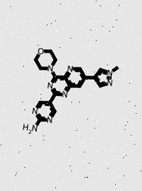 Cn1cc(-c2cnc3c(N4CCOCC4)nc(-c4cnc(N)nc4)nc3c2)cn1